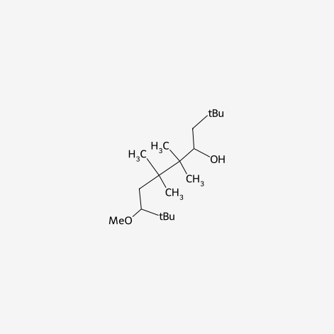 COC(CC(C)(C)C(C)(C)C(O)CC(C)(C)C)C(C)(C)C